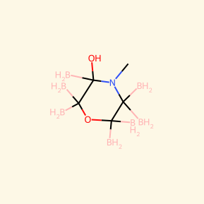 BC1(B)OC(B)(B)C(B)(O)N(C)C1(B)B